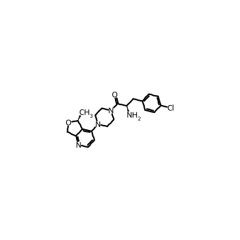 C[C@@H]1OCc2nccc(N3CCN(C(=O)[C@H](N)Cc4ccc(Cl)cc4)CC3)c21